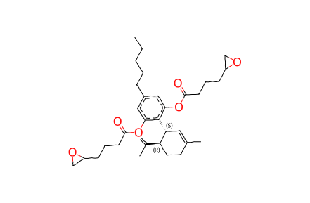 C=C(C)[C@@H]1CCC(C)=C[C@H]1c1c(OC(=O)CCCC2CO2)cc(CCCCC)cc1OC(=O)CCCC1CO1